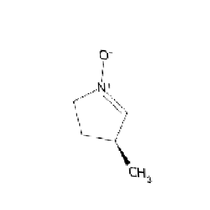 C[C@@H]1C=[N+]([O-])CC1